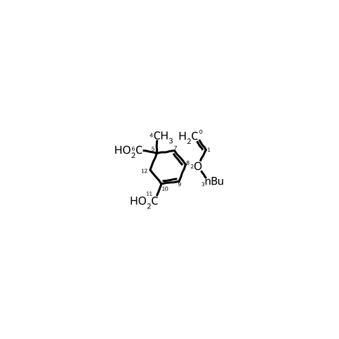 C=COCCCC.CC1(C(=O)O)C=CC=C(C(=O)O)C1